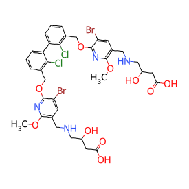 COc1nc(OCc2cccc(-c3cccc(COc4nc(OC)c(CNCC(O)CC(=O)O)cc4Br)c3Cl)c2Cl)c(Br)cc1CNCC(O)CC(=O)O